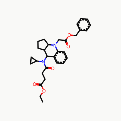 CCOC(=O)CCC(=O)N(C1CC1)C1c2ccccc2N(CC(=O)OCc2ccccc2)C2CCCC21